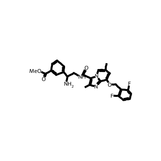 COC(=O)c1cccc(C(N)CNC(=O)c2c(C)nc3c(OCc4c(F)cccc4F)cc(C)cn23)c1